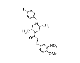 COc1ccc(OCC(=O)N2CC(C)N(Cc3ccc(F)cc3)CC2C)cc1[N+](=O)[O-]